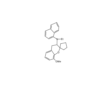 CCN(c1cccc2ccccc12)C1Cc2cccc(OC)c2OC12CCCC2